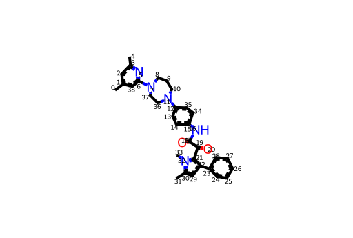 Cc1cc(C)nc(N2CCCN(c3ccc(NC(=O)C(=O)c4c(-c5ccccc5)cc(C)n4C)cc3)CC2)c1